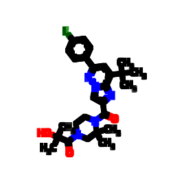 CC(C)(O)C(=O)N1CCN(C(=O)c2cn3nc(-c4ccc(F)cc4)cc(C(C)(C)C)c3n2)C(C)(C)C1